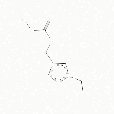 CCOC(=O)Cn1cc(CNC(=O)OC(C)(C)C)cn1